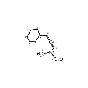 CN(C=O)C=C=CC1CCCCC1